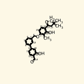 Cc1c(OCc2cccc(-c3ccc(C=O)c(O)c3)c2)ccc(C(=O)CC(C)(C)C)c1O